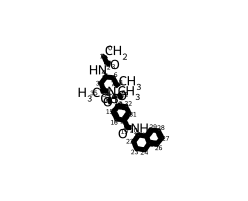 C=CC(=O)NC1CC(C)(C)N(S(=O)(=O)c2ccc(C(=O)NC3CCCc4ccccc43)cc2)C(C)(C)C1